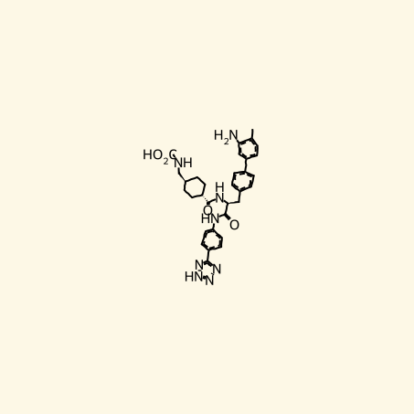 Cc1ccc(-c2ccc(C[C@H](NC(=O)[C@H]3CC[C@H](CNC(=O)O)CC3)C(=O)Nc3ccc(-c4nn[nH]n4)cc3)cc2)cc1N